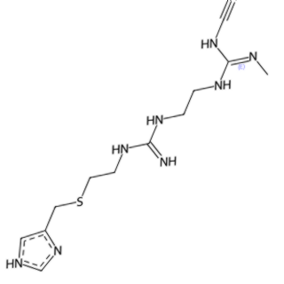 C/N=C(/NC#N)NCCNC(=N)NCCSCc1c[nH]cn1